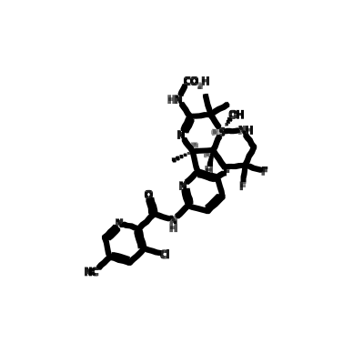 CC1(C)C(NC(=O)O)=N[C@](C)(c2nc(NC(=O)c3ncc(C#N)cc3Cl)ccc2F)[C@H]2CC(F)(F)CN[S@@]21O